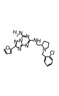 Nc1nc(NCC2CCCN2Cc2ccccc2Cl)nc2nc(-c3ccco3)nn12